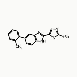 CC(C)(C)c1ncc(-c2nc3cc(-c4ccccc4C(F)(F)F)ccc3[nH]2)s1